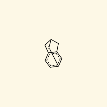 c1cc2c3cc1OC(C2)C3